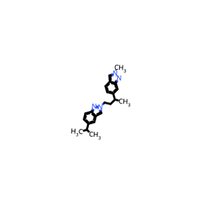 CC(C)c1ccc2nn(CCC(C)c3ccc4cn(C)nc4c3)cc2c1